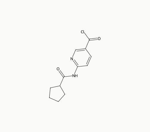 O=C(Cl)c1ccc(NC(=O)C2CCCC2)nc1